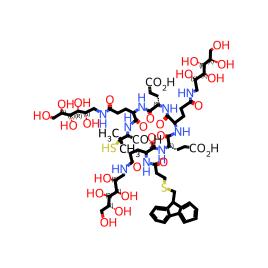 CC(C)(S)C(NC(=O)C(CCC(=O)NC[C@H](O)[C@@H](O)[C@H](O)[C@H](O)CO)NC(=O)[C@H](CCC(=O)O)NC(=O)C(CCC(=O)NC[C@H](O)[C@@H](O)[C@H](O)[C@H](O)CO)NC(=O)[C@H](CCC(=O)O)NC(=O)C(CCC(=O)NC[C@H](O)[C@@H](O)[C@H](O)[C@H](O)CO)NC(=O)CCSCC1c2ccccc2-c2ccccc21)C(=O)O